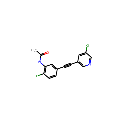 CC(=O)Nc1cc(C#Cc2cncc(Cl)c2)ccc1F